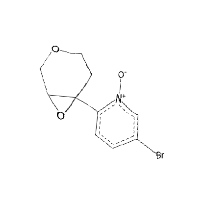 [O-][n+]1cc(Br)ccc1C12CCOCC1O2